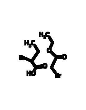 CCC(Br)C(=O)O.CCOC(=O)CBr